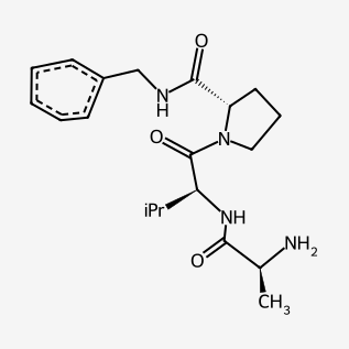 CC(C)[C@H](NC(=O)[C@H](C)N)C(=O)N1CCC[C@H]1C(=O)NCc1ccccc1